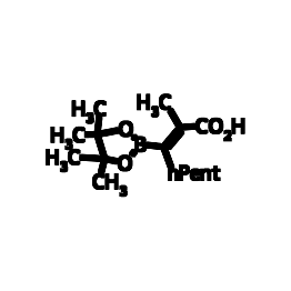 CCCCCC(B1OC(C)(C)C(C)(C)O1)=C(C)C(=O)O